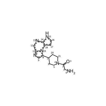 NCC(=O)N1CCC(c2cnc3cnc4[nH]ccc4n23)CC1